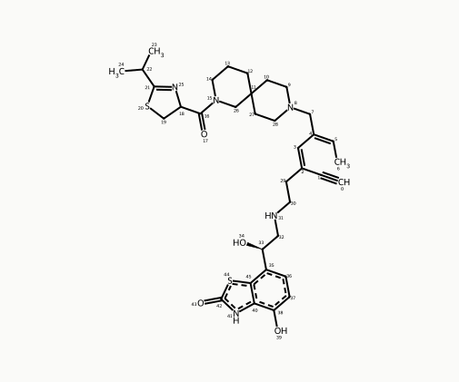 C#C/C(=C\C(=C/C)CN1CCC2(CCCN(C(=O)C3CSC(C(C)C)=N3)C2)CC1)CCNC[C@H](O)c1ccc(O)c2[nH]c(=O)sc12